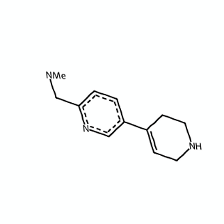 CNCc1ccc(C2=CCNCC2)cn1